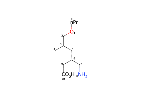 CCCOCC(C)C[C@H](CN)CC(=O)O